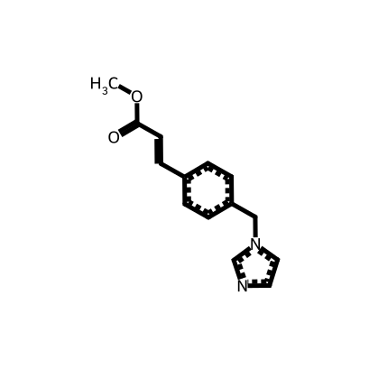 COC(=O)C=Cc1ccc(Cn2ccnc2)cc1